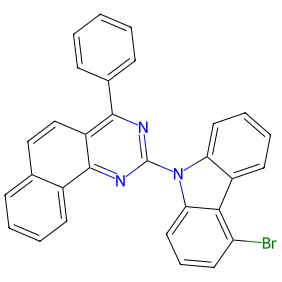 Brc1cccc2c1c1ccccc1n2-c1nc(-c2ccccc2)c2ccc3ccccc3c2n1